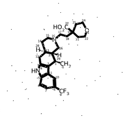 C[C@H]1c2c([nH]c3ccc(C(F)(F)F)cc23)C[C@H]2CCN(CCC3(C(=O)O)CCOCC3)C[C@@H]21